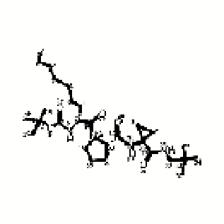 CCCCCCC[C@H](NC(=O)OC(C)(C)C)C(=O)N1CCC[C@H]1C(=O)NC1(C(=O)NCC(C)(C)C)CC1